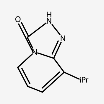 CC(C)c1cccn2c(=O)[nH]nc12